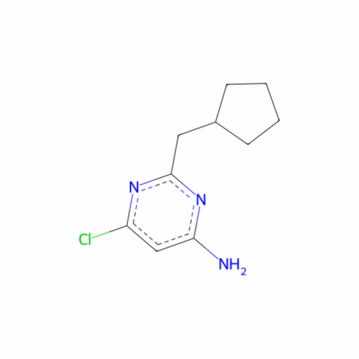 Nc1cc(Cl)nc(CC2CCCC2)n1